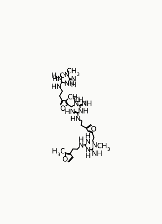 Cc1occc1CCNC(=N)NC(=N)N(C)CCc1cc(CCNC(=N)NC(=N)N(C)Cc2occ(CCNC(=N)NC(=N)N(C)C)c2C)co1